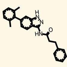 Cc1cccc(C)c1-c1ccc2c(NC(=O)CCc3ccccc3)n[nH]c2c1